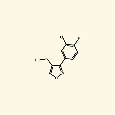 OCc1conc1-c1ccc(F)c(Cl)c1